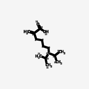 C=C(CCCCN(C(C)C)C(C)C)C(=O)O